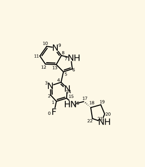 Fc1cnc(-c2c[nH]c3ncccc23)nc1NC[C@@H]1CCNC1